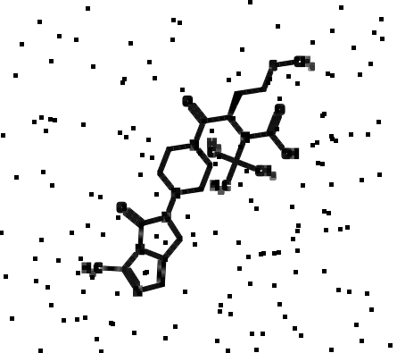 CSCC[C@H](C(=O)N1CCN(N2Cc3cnc(C)n3C2=O)CC1)N(C(=O)O)C(C)(C)C